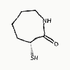 O=C1NCCCC[C@H]1S